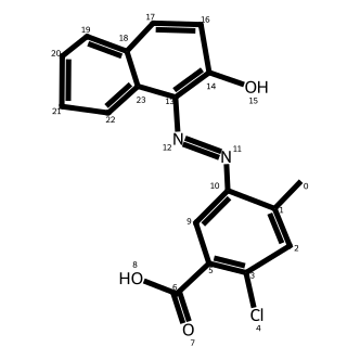 Cc1cc(Cl)c(C(=O)O)cc1/N=N/c1c(O)ccc2ccccc12